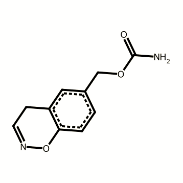 NC(=O)OCc1ccc2c(c1)CC=NO2